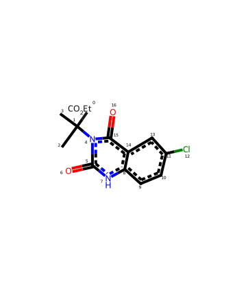 CCOC(=O)C(C)(C)n1c(=O)[nH]c2ccc(Cl)cc2c1=O